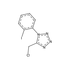 ClCc1nnnn1-c1ccccc1I